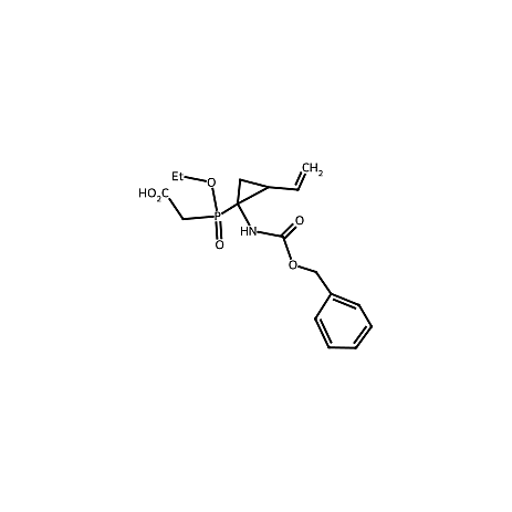 C=CC1CC1(NC(=O)OCc1ccccc1)P(=O)(CC(=O)O)OCC